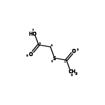 CC(=O)SCC(=O)O